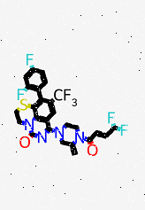 C=C1CN(c2nc(=O)n3c4c(c(-c5ccc(F)cc5F)c(C(F)(F)F)cc24)SCC3)CCN1C(=O)/C=C/C(F)F